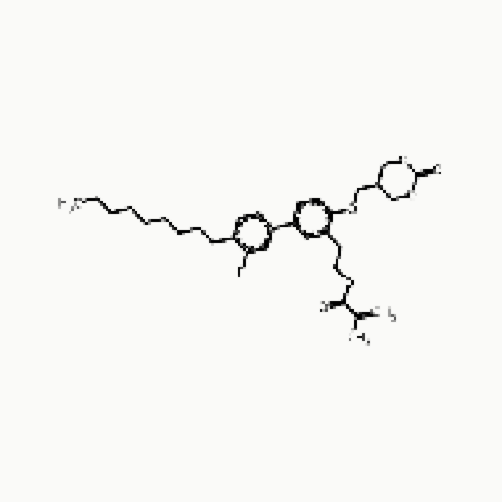 C=C(C)C(=O)OCCc1cc(-c2ccc(CCCCCCCCC)c(F)c2)ccc1OCC1COC(=O)OC1